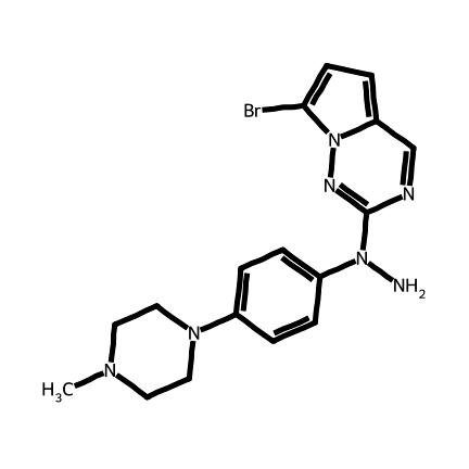 CN1CCN(c2ccc(N(N)c3ncc4ccc(Br)n4n3)cc2)CC1